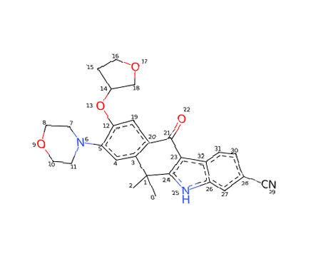 CC1(C)c2cc(N3CCOCC3)c(OC3CCOC3)cc2C(=O)c2c1[nH]c1cc(C#N)ccc21